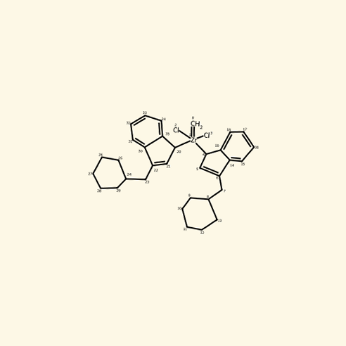 [CH2]=[Zr]([Cl])([Cl])([CH]1C=C(CC2CCCCC2)c2ccccc21)[CH]1C=C(CC2CCCCC2)c2ccccc21